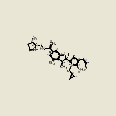 C=C(NC[C@@H]1NCC[C@@H]1CCC)c1cc(CC)c2c(c1)NC(c1cc(/C=C\CC)c(N)n1CC1CC1)C2C